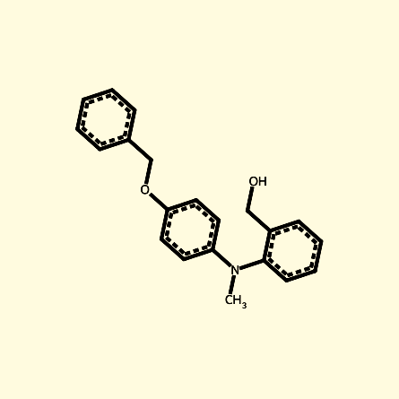 CN(c1ccc(OCc2ccccc2)cc1)c1ccccc1CO